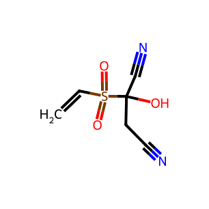 C=CS(=O)(=O)C(O)(C#N)CC#N